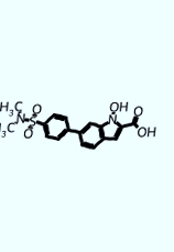 CN(C)S(=O)(=O)c1ccc(-c2ccc3cc(C(=O)O)n(O)c3c2)cc1